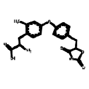 Cc1cc(Oc2ccc(CC3OC(=O)NC3=O)cc2)ccc1CC(N)C(=O)O